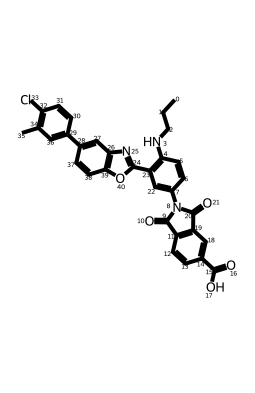 CCCNc1ccc(N2C(=O)c3ccc(C(=O)O)cc3C2=O)cc1-c1nc2cc(-c3ccc(Cl)c(C)c3)ccc2o1